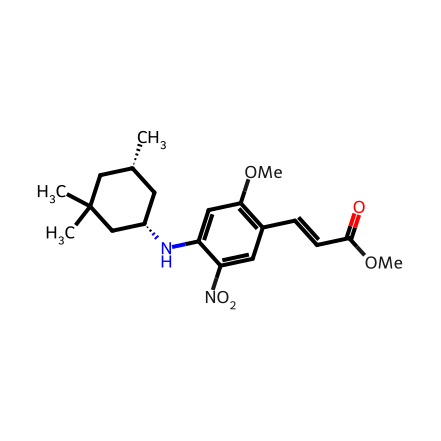 COC(=O)/C=C/c1cc([N+](=O)[O-])c(N[C@H]2C[C@@H](C)CC(C)(C)C2)cc1OC